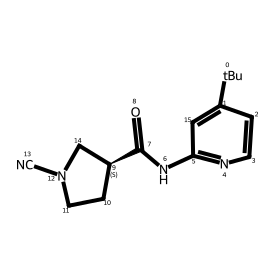 CC(C)(C)c1ccnc(NC(=O)[C@H]2CCN(C#N)C2)c1